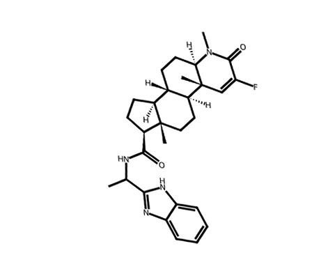 CC(NC(=O)[C@H]1CC[C@H]2[C@@H]3CC[C@H]4N(C)C(=O)C(F)=C[C@]4(C)[C@H]3CC[C@]12C)c1nc2ccccc2[nH]1